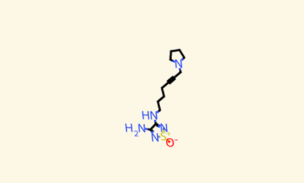 Nc1n[s+]([O-])nc1NCCCCC#CCN1CCCC1